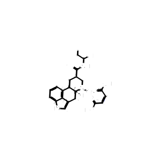 CCC(C)NC(=O)C1CC2c3cccc4[nH]cc(c34)C[C@H]2N(C)C1.O=C(O)/C=C\C(=O)O